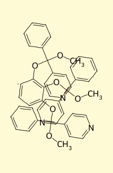 COC(Oc1[c]ccc(OC(OC)(c2ccccc2)c2ccncc2)c1OC(OC)(c1ccccc1)c1ccncc1)(c1ccccc1)c1ccncc1